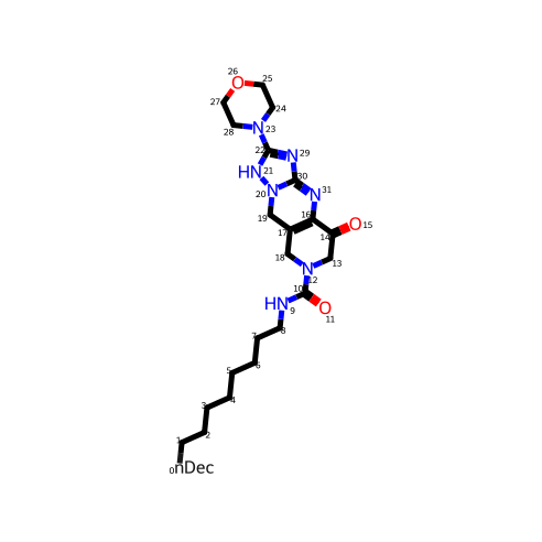 CCCCCCCCCCCCCCCCCCNC(=O)N1CC(=O)C2=C(C1)CN1NC(N3CCOCC3)=NC1=N2